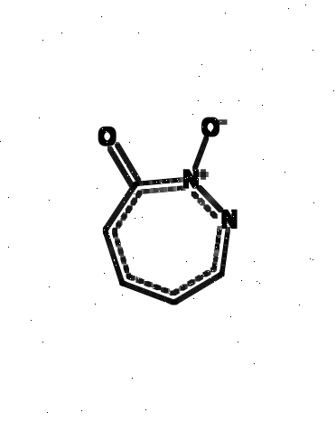 O=c1ccccn[n+]1[O-]